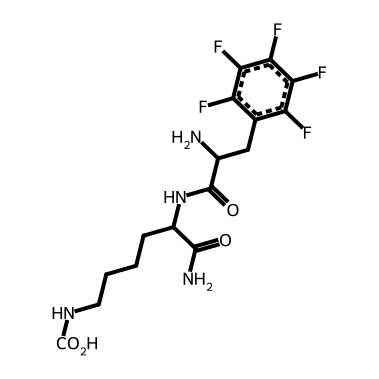 NC(=O)C(CCCCNC(=O)O)NC(=O)C(N)Cc1c(F)c(F)c(F)c(F)c1F